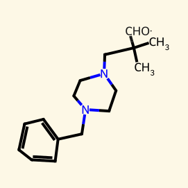 CC(C)([C]=O)CN1CCN(Cc2ccccc2)CC1